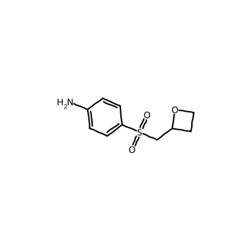 Nc1ccc(S(=O)(=O)CC2CCO2)cc1